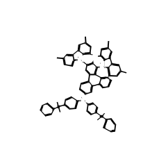 Cc1ccc2c(c1)c1cc(C)cc3c1n2-c1cc2c4ccc(N(c5ccc(C(C)(C)c6ccccc6)cc5)c5ccc(C(C)(C)c6ccccc6)cc5)cc4c4ccccc4c2c2c1B3c1cc(C)cc3c4cc(C)ccc4n-2c13